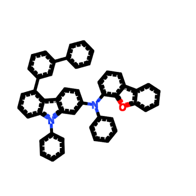 c1ccc(-c2cccc(-c3cccc4c3c3ccc(N(c5ccccc5)c5cccc6c5oc5ccccc56)cc3n4-c3ccccc3)c2)cc1